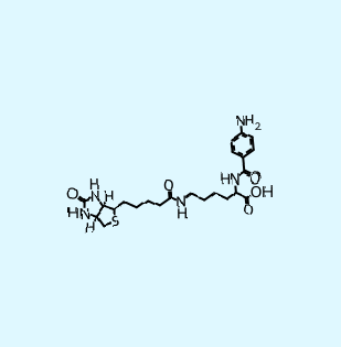 Nc1ccc(C(=O)NC(CCCCNC(=O)CCCCC2SC[C@@H]3NC(=O)N[C@H]23)C(=O)O)cc1